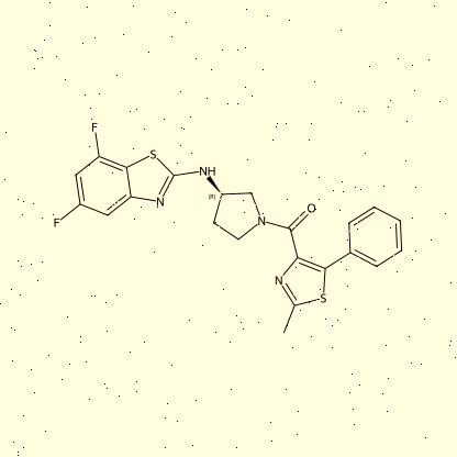 Cc1nc(C(=O)N2CC[C@@H](Nc3nc4cc(F)cc(F)c4s3)C2)c(-c2ccccc2)s1